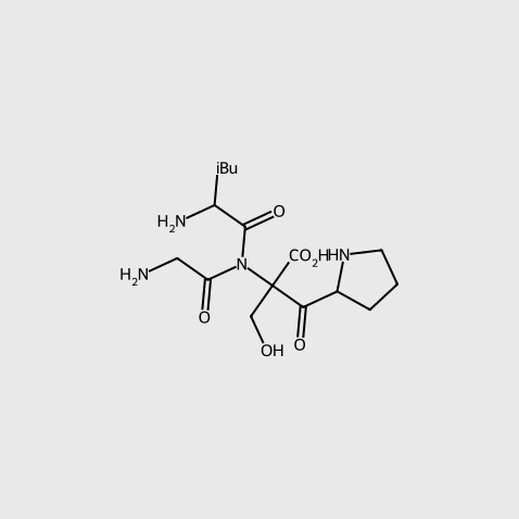 CCC(C)C(N)C(=O)N(C(=O)CN)C(CO)(C(=O)O)C(=O)C1CCCN1